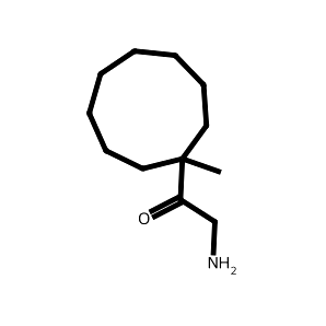 CC1(C(=O)CN)CCCCCCCC1